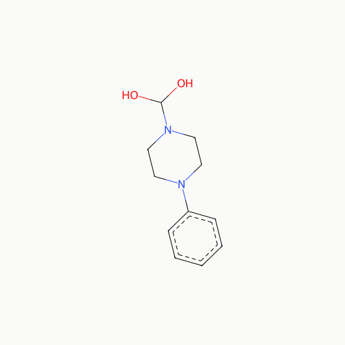 OC(O)N1CCN(c2ccccc2)CC1